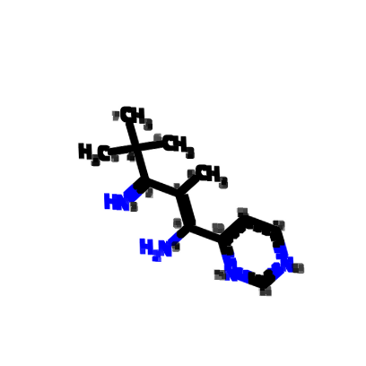 C/C(C(=N)C(C)(C)C)=C(/N)c1ccncn1